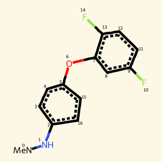 CNNc1ccc(Oc2cc(F)ccc2F)cc1